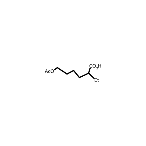 CCC(CCCCOC(C)=O)C(=O)O